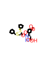 O=C(O)C[C@H](NC(=O)O[C@@H](CSCc1ccccc1)CSc1ccccc1)c1ccc2c(c1)OCO2